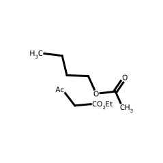 CCCCOC(C)=O.CCOC(=O)CC(C)=O